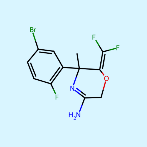 CC1(c2cc(Br)ccc2F)N=C(N)COC1=C(F)F